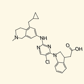 CN1CCc2c(CC3CC3)cc(Nc3ncc(Cl)c(N4CC(CC(=O)O)c5ccccc54)n3)cc2C1